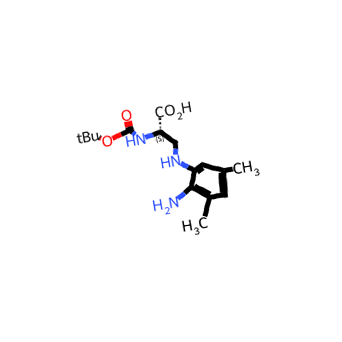 Cc1cc(C)c(N)c(NC[C@H](NC(=O)OC(C)(C)C)C(=O)O)c1